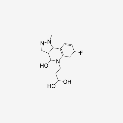 CN1N=CC2C1C1=C(CC(F)C=C1)N(CCC(O)O)C2O